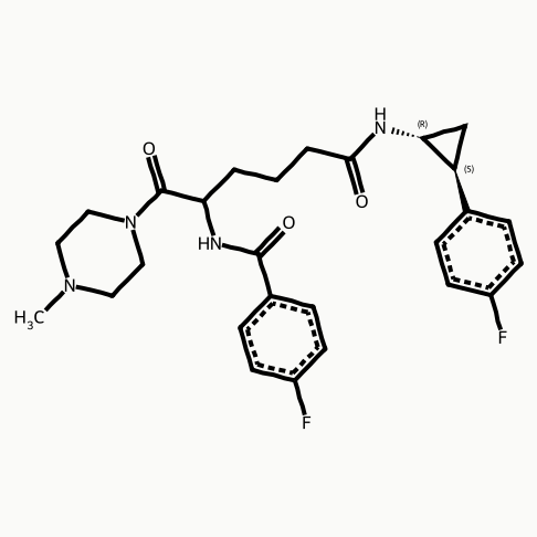 CN1CCN(C(=O)C(CCCC(=O)N[C@@H]2C[C@H]2c2ccc(F)cc2)NC(=O)c2ccc(F)cc2)CC1